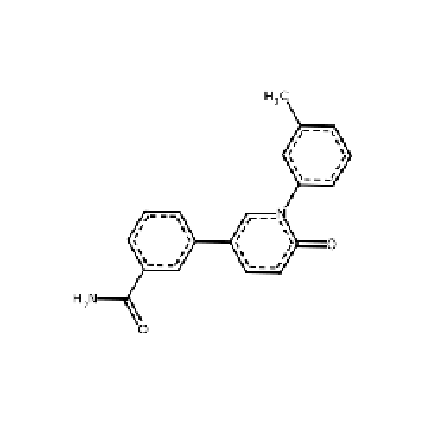 Cc1cccc(-n2cc(-c3cccc(C(N)=O)c3)ccc2=O)c1